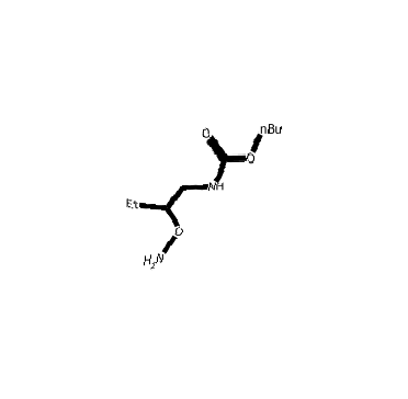 CCCCOC(=O)NCC(CC)ON